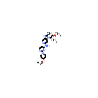 COCC(C)n1c(C)nc2cnc(Nc3ccnc(N4CCC(OC)CC4)n3)cc21